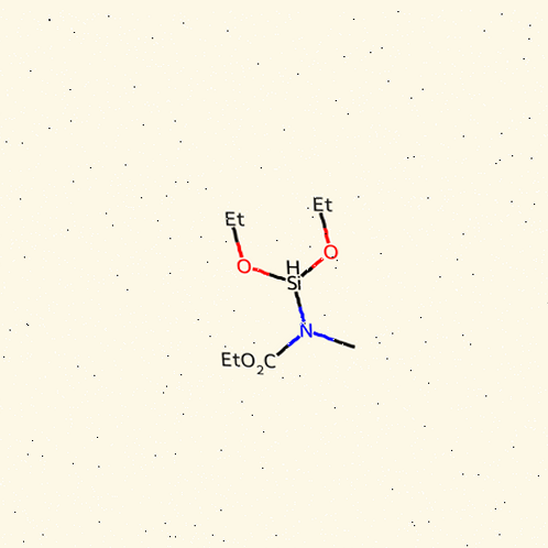 CCOC(=O)N(C)[SiH](OCC)OCC